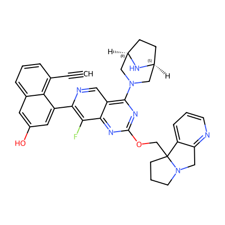 C#Cc1cccc2cc(O)cc(-c3ncc4c(N5C[C@H]6CC[C@@H](C5)N6)nc(OCC56CCCN5Cc5ncccc56)nc4c3F)c12